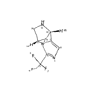 FC(F)(F)c1ncc2n1[C@@H]1CN[C@H]2C1